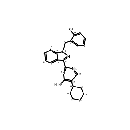 Nc1nc(-c2nn(Cc3ccccc3F)c3ncccc23)ncc1C1CCCCC1